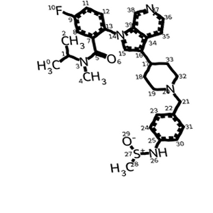 CC(C)N(C)C(=O)c1cc(F)ccc1-n1cc(C2CCN(Cc3ccc(N[S+](C)[O-])cc3)CC2)c2ccncc21